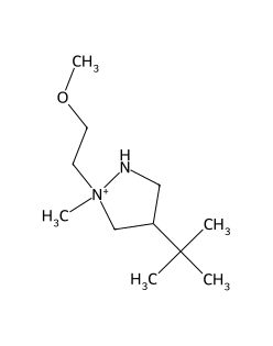 COCC[N+]1(C)CC(C(C)(C)C)CN1